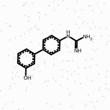 N=C(N)Nc1ccc(-c2cccc(O)c2)cc1